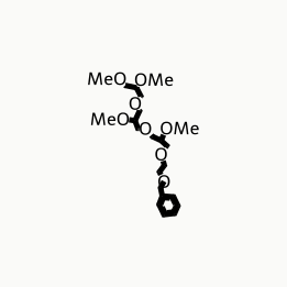 COCC(COCC(COCC(COCCOCc1ccccc1)OC)OC)OC